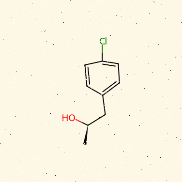 C[C@@H](O)Cc1ccc(Cl)cc1